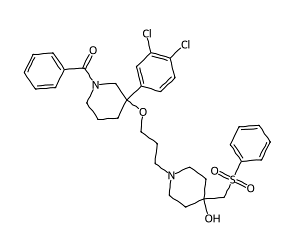 O=C(c1ccccc1)N1CCCC(OCCCN2CCC(O)(CS(=O)(=O)c3ccccc3)CC2)(c2ccc(Cl)c(Cl)c2)C1